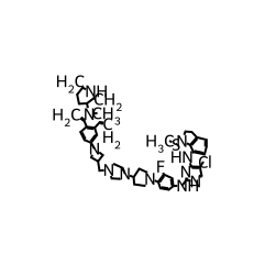 C=Cc1cc(N2CC(CN3CCN(C4CCN(c5ccc(Nc6ncc(Cl)c(Nc7cccc8c7N(SC)CC8)n6)cc5F)CC4)CC3)C2)ccc1C(=C)N(C)C1CCC(=C)NC1=C